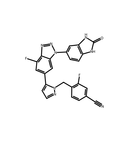 N#Cc1ccc(Cn2nccc2-c2cc(F)c3nnn(-c4ccc5[nH]c(=O)[nH]c5c4)c3c2)c(F)c1